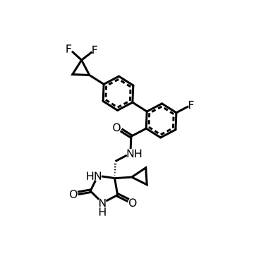 O=C1NC(=O)[C@](CNC(=O)c2ccc(F)cc2-c2ccc(C3CC3(F)F)cc2)(C2CC2)N1